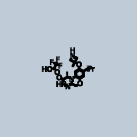 CC(C)c1cc2c(cc1OC1(C)CNC1)N1C(=NNC(=O)[C@H]1C)CO2.O=C(O)C(F)(F)F